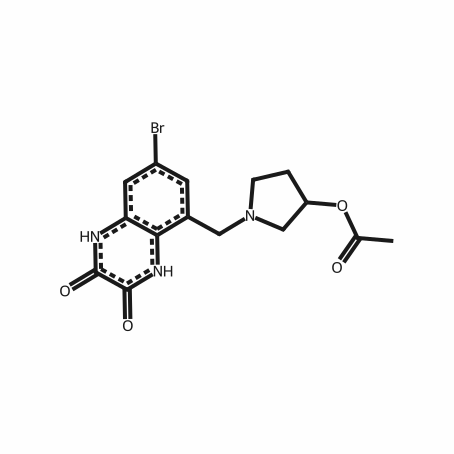 CC(=O)OC1CCN(Cc2cc(Br)cc3[nH]c(=O)c(=O)[nH]c23)C1